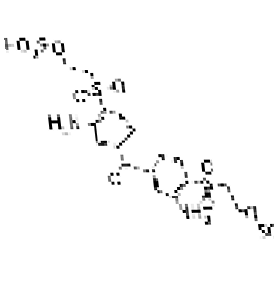 Nc1cc(C(=O)c2ccc(S(=O)(=O)CCOS(=O)(=O)O)c(N)c2)ccc1S(=O)(=O)CCOS(=O)(=O)O